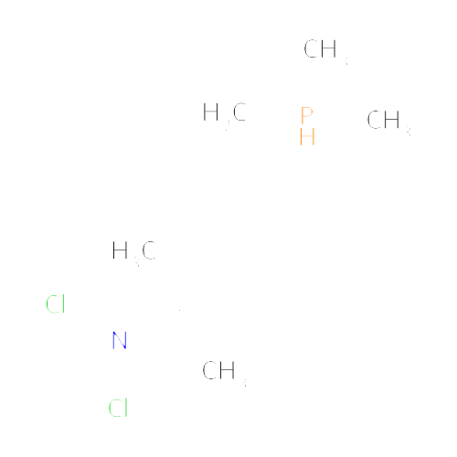 CC(C)(CCC[PH](C)(C)C)N(Cl)Cl